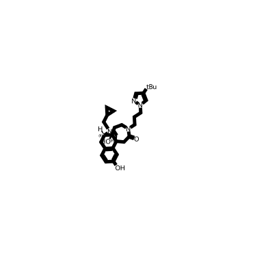 CC(C)(C)c1cnn(CCCN2CC[C@@]3(O)[C@H]4Cc5ccc(O)cc5[C@@]3(CCN4CC3CC3)CC2=O)c1